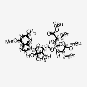 CCCCOC(=O)[C@H](CC(C)C)NP(=O)(N[C@@H](CC(C)C)C(=O)OCCCC)OC[C@H]1O[C@@H](n2cnc3c(OC)nc(C)nc32)[C@@](C)(O)C1O